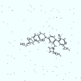 Cc1cc(-c2ccc(C3CCc4ccc(CC(C)C(=O)O)cc4O3)cc2CN2CCC2C)c(F)cn1